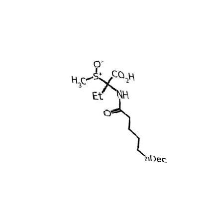 CCCCCCCCCCCCCCC(=O)NC(CC)(C(=O)O)[S+](C)[O-]